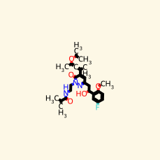 COc1ccc(F)cc1C(O)Cc1cc(C(C)=C=C(C)OC(C)C)c(=O)n(CCNC(=O)C(C)C)n1